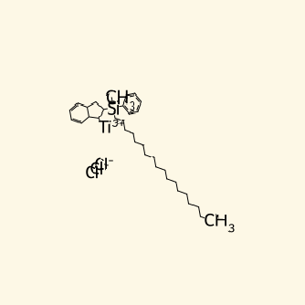 CCCCCCCCCCCCCCCCCC[Si](C)(c1ccccc1)C1CC2C=CC=CC2[CH]1[Ti+3].[Cl-].[Cl-].[Cl-]